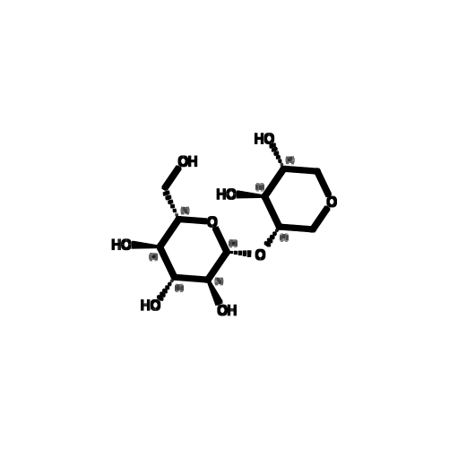 OC[C@@H]1O[C@H](O[C@H]2COC[C@@H](O)[C@@H]2O)[C@@H](O)[C@H](O)[C@H]1O